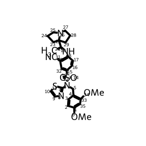 COc1ccc(CN(c2nccs2)S(=O)(=O)c2ccc(NC(C)C34CCCN3CCC4)c(C#N)c2)c(OC)c1